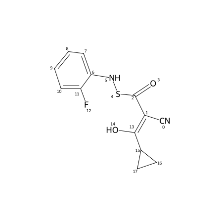 N#CC(C(=O)SNc1ccccc1F)=C(O)C1CC1